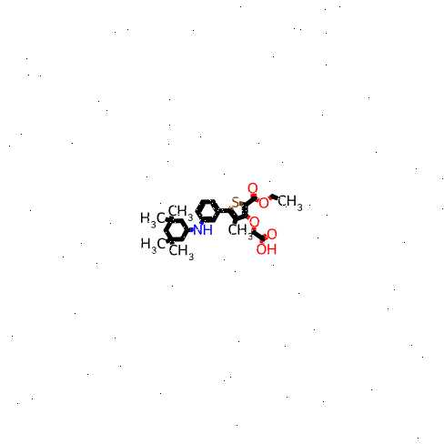 CCOC(=O)c1sc(-c2cccc(NC3CC(C)(C)CC(C)(C)C3)c2)c(C)c1OCC(=O)O